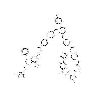 Cc1ncsc1-c1ccc([C@H](C)NC(=O)[C@@H]2C[C@@H](O)CN2C(=O)[C@@H](NC(=O)CN2CCN(CC(=O)N3CCN(C[C@]4(C)CCC(c5ccc(Cl)cc5)=C(CN5CCN(c6ccc(C(=O)NS(=O)(=O)c7ccc(N[C@H](CCN8C[C@H]9C[C@@H]8CO9)CSc8ccccc8)c(S(=O)(=O)C(F)(F)F)c7)cc6)CC5)C4)CC3)CC2)C(C)(C)C)cc1